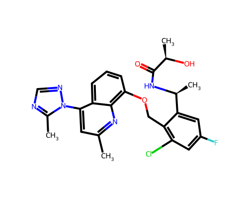 Cc1cc(-n2ncnc2C)c2cccc(OCc3c(Cl)cc(F)cc3[C@H](C)NC(=O)[C@@H](C)O)c2n1